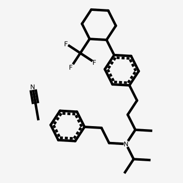 CC#N.CC(C)N(CCc1ccccc1)C(C)CCc1ccc(C2CCCCC2C(F)(F)F)cc1